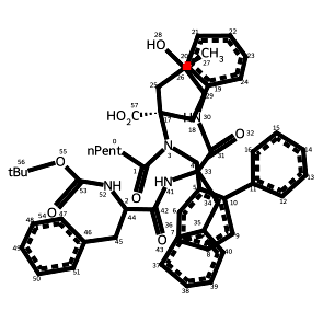 CCCCCC(=O)N(Cc1ccccc1-c1ccccc1)[C@](Cc1ccccc1)(C[C@](C)(O)CNC(=O)C(Cc1ccccc1)NC(=O)C(Cc1ccccc1)NC(=O)OC(C)(C)C)C(=O)O